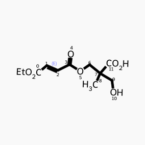 CCOC(=O)/C=C/C(=O)OCC(C)(CO)C(=O)O